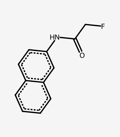 O=C(CF)Nc1ccc2ccccc2c1